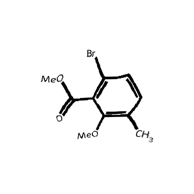 COC(=O)c1c(Br)ccc(C)c1OC